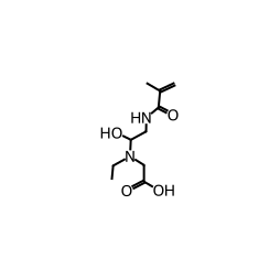 C=C(C)C(=O)NCC(O)N(CC)CC(=O)O